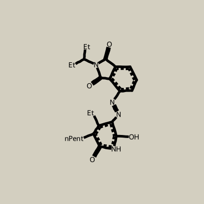 CCCCCc1c(CC)c(N=Nc2cccc3c2C(=O)N(C(CC)CC)C3=O)c(O)[nH]c1=O